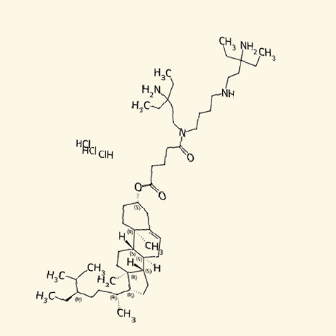 CC[C@H](CC[C@@H](C)[C@H]1CC[C@H]2[C@@H]3CC=C4C[C@@H](OC(=O)CCCC(=O)N(CCCCNCCC(N)(CC)CC)CCC(N)(CC)CC)CC[C@]4(C)[C@H]3CC[C@]12C)C(C)C.Cl.Cl.Cl